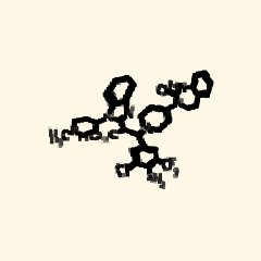 CN1CCC(n2c(C(C(=O)O)C(c3cc(Cl)c(N)c(C(F)(F)F)c3)N3CCC(N4CCc5ccccc5NC4=O)CC3)nc3ccccc32)CC1